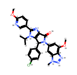 COc1ccc(-c2nc3c(n2C(C)C)C(c2ccc(Cl)cc2)N(c2cc(OC)c4nnn(C)c4c2)C3=O)cn1